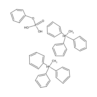 C[PH](c1ccccc1)(c1ccccc1)c1ccccc1.C[PH](c1ccccc1)(c1ccccc1)c1ccccc1.O=P(O)(O)Oc1ccccc1